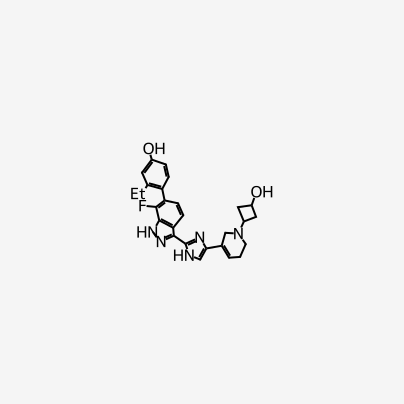 CCc1cc(O)ccc1-c1ccc2c(-c3nc(C4=CCCN(C5CC(O)C5)C4)c[nH]3)n[nH]c2c1F